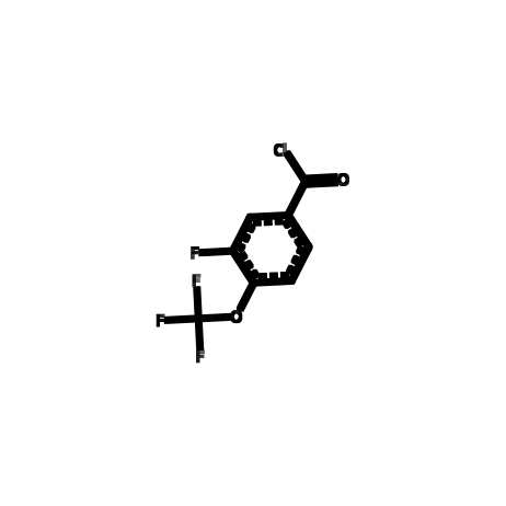 O=C(Cl)c1ccc(OC(F)(F)F)c(F)c1